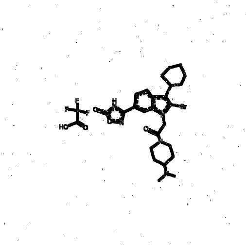 CN(C)C1CCN(C(=O)Cn2c(Br)c(C3CCCCC3)c3ccc(-c4noc(=O)[nH]4)cc32)CC1.O=C(O)C(F)(F)F